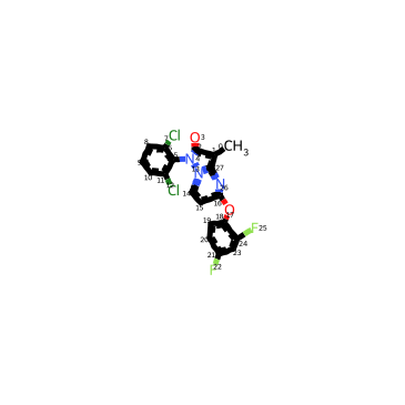 Cc1c(=O)n(-c2c(Cl)cccc2Cl)n2ccc(Oc3ccc(F)cc3F)nc12